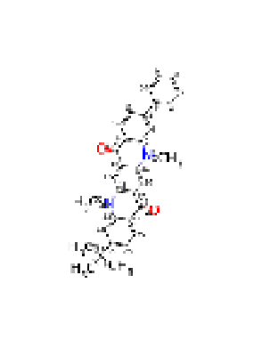 Cn1c2cc(-c3ccccc3)ccc2c(=O)c2cc3c(cc21)c(=O)c1ccc(C(C)(C)C)cc1n3C